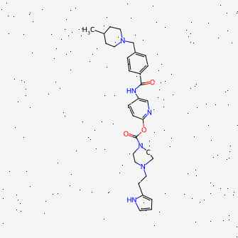 CC1CCN(Cc2ccc(C(=O)Nc3ccc(OC(=O)N4CCN(CCc5ccc[nH]5)CC4)nc3)cc2)CC1